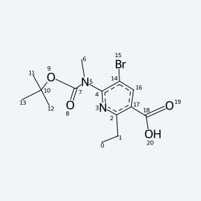 CCc1nc(N(C)C(=O)OC(C)(C)C)c(Br)cc1C(=O)O